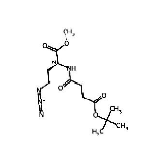 COC(=O)[C@H](CCN=[N+]=[N-])NC(=O)CCC(=O)OC(C)(C)C